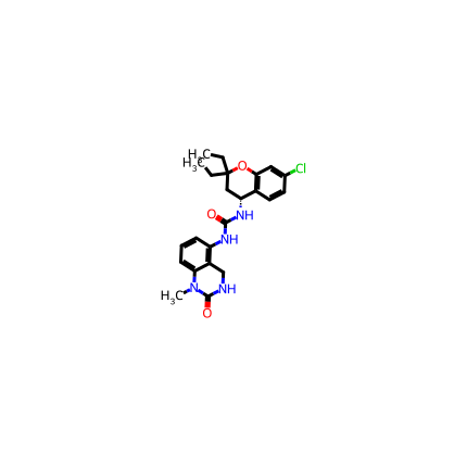 CCC1(CC)C[C@@H](NC(=O)Nc2cccc3c2CNC(=O)N3C)c2ccc(Cl)cc2O1